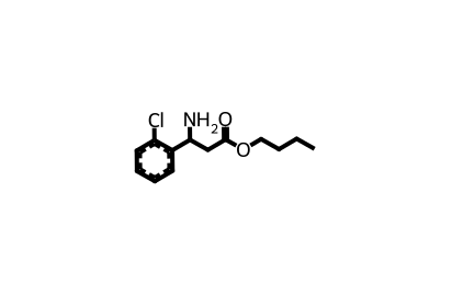 CCCCOC(=O)CC(N)c1ccccc1Cl